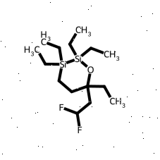 CCC1(CC(F)F)CC[Si](CC)(CC)[Si](CC)(CC)O1